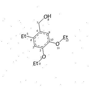 CCOc1cc(CC)c(CO)cc1OCC